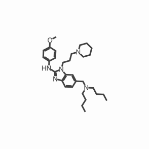 CCCCN(CCCC)Cc1ccc2nc(Nc3ccc(OC)cc3)n(CCCN3CCCCC3)c2c1